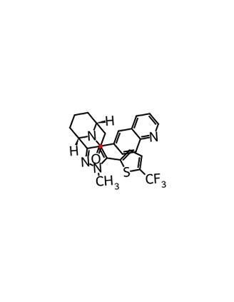 Cn1nc2c(c1-c1ccc(C(F)(F)F)s1)C[C@H]1CCC[C@@H]2N1C(=O)c1ccc2ncccc2c1